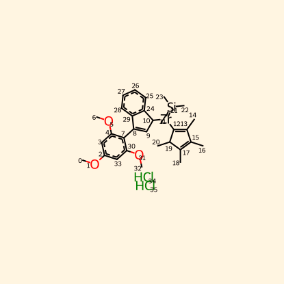 COc1cc(OC)c(C2=C[CH]([Zr]([C]3=C(C)C(C)=C(C)C3C)=[Si](C)C)c3ccccc32)c(OC)c1.Cl.Cl